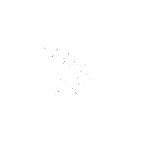 CSc1cn(-c2ncc(-c3cccc(C)c3)cn2)c2cc(C(=O)N3CCNC(=O)C3)ccc12